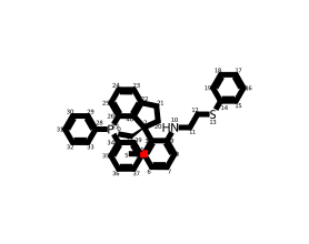 CC[C@]1(c2c(C)cccc2NCCSc2ccccc2)CCc2cccc(P(c3ccccc3)c3ccccc3)c21